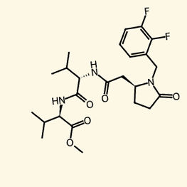 COC(=O)[C@H](NC(=O)[C@@H](NC(=O)C[C@@H]1CCC(=O)N1Cc1cccc(F)c1F)C(C)C)C(C)C